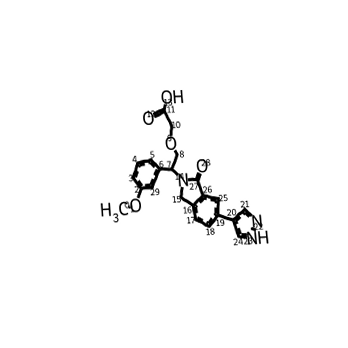 COc1cccc(C(COCC(=O)O)N2Cc3ccc(-c4cn[nH]c4)cc3C2=O)c1